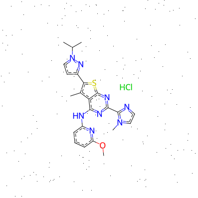 COc1cccc(Nc2nc(-c3nccn3C)nc3sc(-c4ccn(C(C)C)n4)c(C)c23)n1.Cl